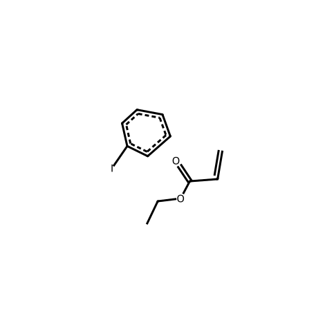 C=CC(=O)OCC.Ic1ccccc1